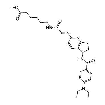 CCN(CC)c1ccc(C(=O)NC2CCc3cc(/C=C/C(=O)NCCCCCC(=O)OC)ccc32)cc1